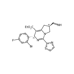 CCOC(=O)C1=C2C[C@@H](C=N)CN2C(c2nccs2)=N[C@@H]1c1ccc(F)cc1Br